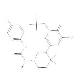 C[C@@H](C(=O)Nc1ccc(F)cn1)N1CCC(F)(F)C(c2cc(N)c(=O)n(CC(F)(F)F)c2)C1